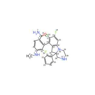 CNc1ccc(C(N)=O)c(-c2c(Cl)c(F)cc3c2CC2(c4ccccc4)CNCCN32)c1F